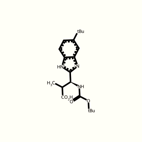 CC(C(=O)O)[C@H](NC(=O)OC(C)(C)C)c1nc2cc(C(C)(C)C)ccc2[nH]1